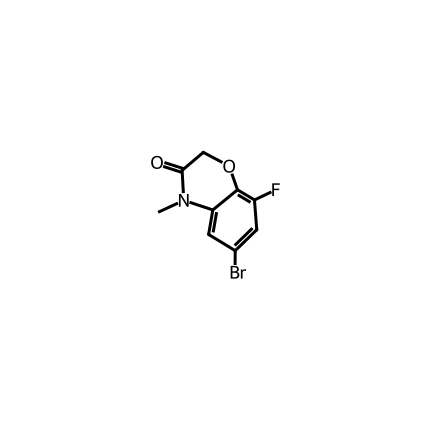 CN1C(=O)COc2c(F)cc(Br)cc21